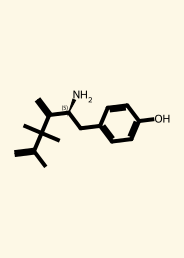 C=C(C)C(C)(C)C(=C)[C@@H](N)Cc1ccc(O)cc1